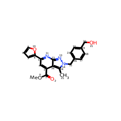 COC(=O)c1cc(-c2ccco2)nc2nn(Cc3ccc(CO)cc3)c(C)c12